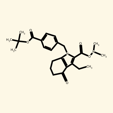 CCc1c2c(n(Cc3ccc(C(=O)OC(C)(C)C)cc3)c1C(=O)ON(C)C)CCCC2=O